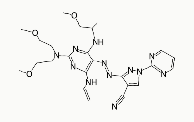 C=CNc1nc(N(CCOC)CCOC)nc(NC(C)COC)c1N=Nc1nn(-c2ncccn2)cc1C#N